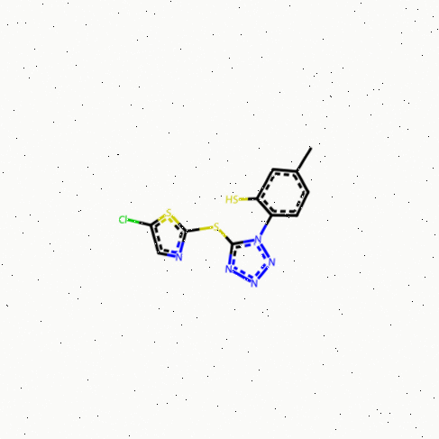 Cc1ccc(-n2nnnc2Sc2ncc(Cl)s2)c(S)c1